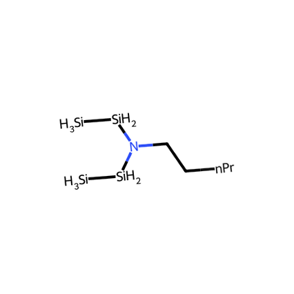 CCCCCN([SiH2][SiH3])[SiH2][SiH3]